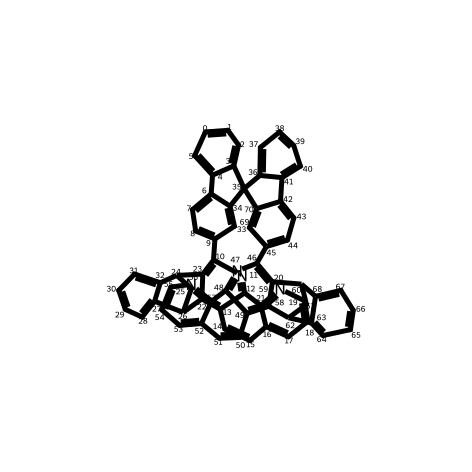 c1ccc2c(c1)-c1ccc(-c3nc4c(ccc5cccnc54)c4c3C3CC4c4ccccc43)cc1C21c2ccccc2-c2ccc(-c3nc4c(ccc5cccnc54)c4c3C3CC4c4ccccc43)cc21